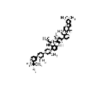 C=CC(=O)Nc1cc(Nc2nc(-c3ccnc(N4CCn5c(cc6c5CC(C)(C)C6)C4=O)c3CO)cn(C)c2=O)ccc1N1CCN(C2CCN(c3ccnc(C(C)(C)C(F)(F)F)c3)[C@@H](C)C2)C[C@@H]1C